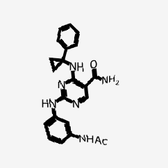 CC(=O)Nc1cccc(Nc2ncc(C(N)=O)c(NC3(c4ccccc4)CC3)n2)c1